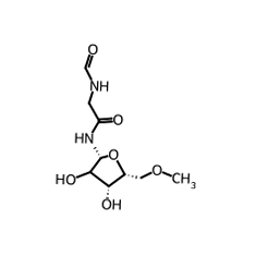 COC[C@H]1O[C@@H](NC(=O)CNC=O)C(O)[C@H]1O